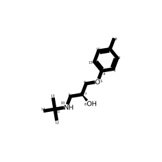 Cc1ccc(OC[C@@H](O)CNC(C)(C)C)cc1